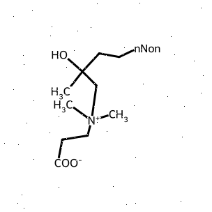 CCCCCCCCCCCC(C)(O)C[N+](C)(C)CCC(=O)[O-]